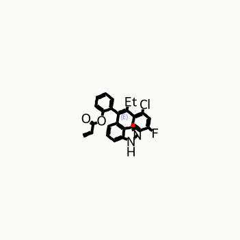 C=CC(=O)Oc1ccccc1/C(=C(\CC)c1ccc(F)cc1Cl)c1cccc2[nH]ncc12